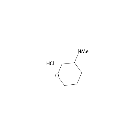 CNC1CCCOC1.Cl